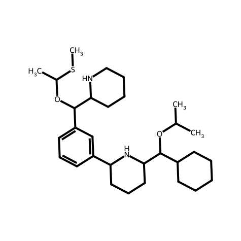 CSC(C)OC(c1cccc(C2CCCC(C(OC(C)C)C3CCCCC3)N2)c1)C1CCCCN1